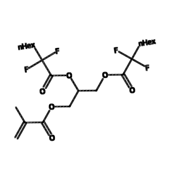 C=C(C)C(=O)OCC(COC(=O)C(F)(F)CCCCCC)OC(=O)C(F)(F)CCCCCC